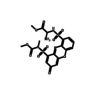 COC(=O)C(N)NS(=O)(=O)c1cccc2oc3cc(=O)cc(S(=O)(=O)N(C)C(=O)OC)c-3nc12